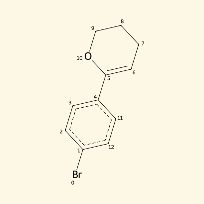 Brc1ccc(C2=CCCCO2)cc1